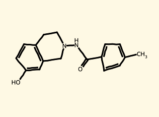 Cc1ccc(C(=O)NN2CCc3ccc(O)cc3C2)cc1